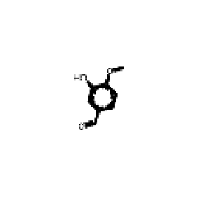 COc1ccc([C]=O)cc1O